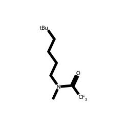 CN(CCCCC(C)(C)C)C(=O)C(F)(F)F